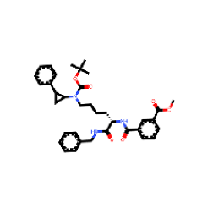 COC(=O)c1cccc(C(=O)N[C@@H](CCCCN(C(=O)OC(C)(C)C)C2CC2c2ccccc2)C(=O)NCc2ccccc2)c1